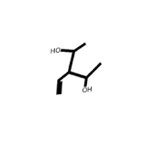 C=C[C](C(C)O)C(C)O